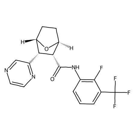 O=C(Nc1cccc(C(F)(F)F)c1F)[C@@H]1[C@H](c2cnccn2)[C@@H]2CC[C@@H]1O2